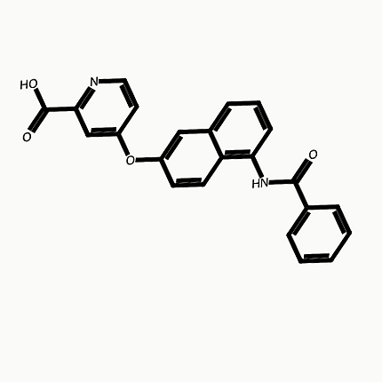 O=C(Nc1cccc2cc(Oc3ccnc(C(=O)O)c3)ccc12)c1ccccc1